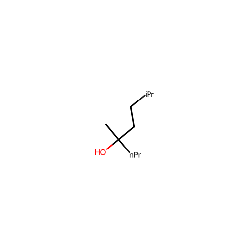 CCCC(C)(O)CCC(C)C